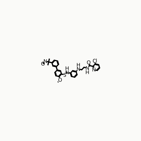 COc1ccc(-c2cccc(C(C)(C)N=O)c2)cc1SNc1cccc(NCCNC(=O)c2ncccc2Cl)c1